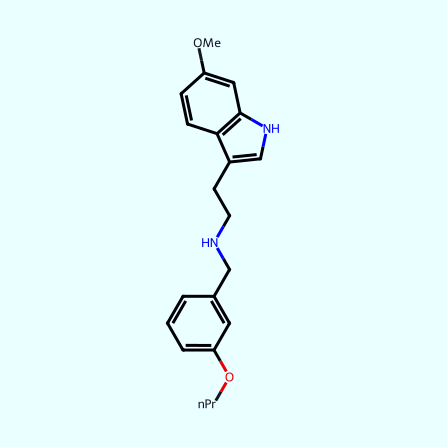 CCCOc1cccc(CNCCc2c[nH]c3cc(OC)ccc23)c1